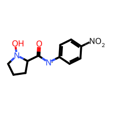 O=C([N]c1ccc([N+](=O)[O-])cc1)C1CCCN1O